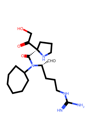 N=C(N)NCCC[C@@H](C=O)N(C(=O)[C@]1(C(=O)CO)CCCN1)C1CCCCCC1